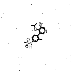 Cc1cc(NS(C)(=O)=O)ccc1-c1cncc(Br)c1OC(C)C